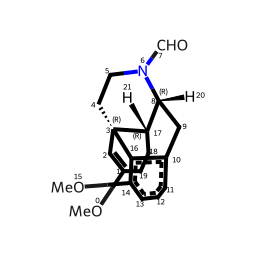 COC1=C[C@]23CCN(C=O)[C@H](Cc4cccc(OC)c42)[C@@H]3CC1